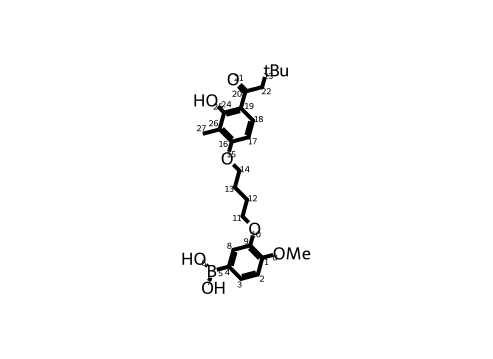 COc1ccc(B(O)O)cc1OCCCCOc1ccc(C(=O)CC(C)(C)C)c(O)c1C